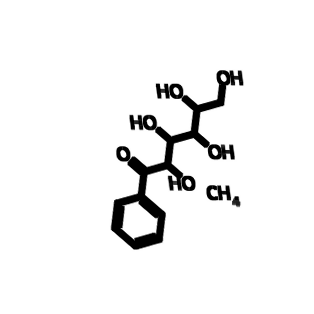 C.O=C(c1ccccc1)C(O)C(O)C(O)C(O)CO